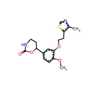 COc1ccc(C2CCNC(=O)O2)cc1OCCc1scnc1C